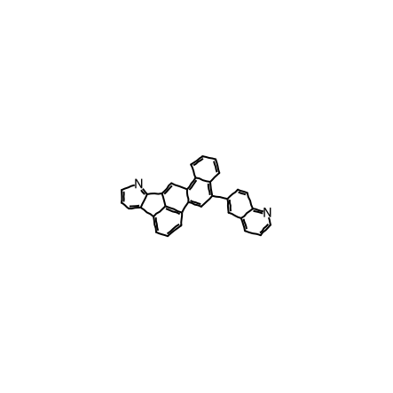 c1cnc2c(c1)-c1cccc3c1c-2cc1c2ccccc2c(-c2ccc4ncccc4c2)cc31